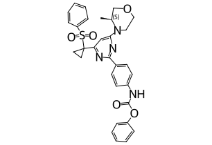 C[C@H]1COCCN1c1cc(C2(S(=O)(=O)c3ccccc3)CC2)nc(-c2ccc(NC(=O)Oc3ccccc3)cc2)n1